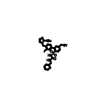 CC(C)Cc1ccc(S(=O)(=O)NC(=O)NCc2ccccn2)c(-c2ccc(Cn3ccnc3C(C)(C)C)c(F)c2)c1